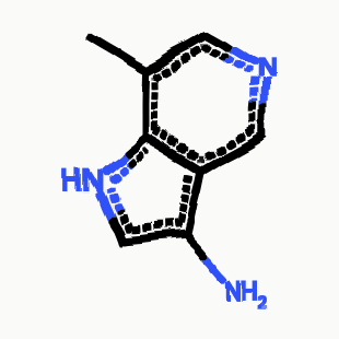 Cc1cncc2c(N)c[nH]c12